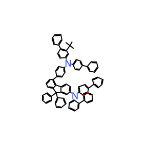 CC(C)(C)c1cc(N(c2ccc(-c3ccccc3)cc2)c2ccc(-c3cccc4c3-c3ccc(N(c5ccc(-c6ccccc6)cc5)c5ccccc5-c5ccccc5)cc3C4(c3ccccc3)c3ccccc3)cc2)ccc1-c1ccccc1